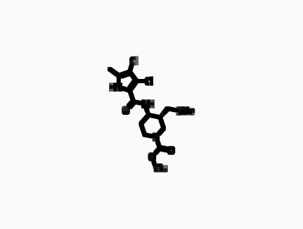 CSC[C@H]1CN(C(=O)OC(C)(C)C)CC[C@H]1NC(=O)c1[nH]c(C)c(Cl)c1Cl